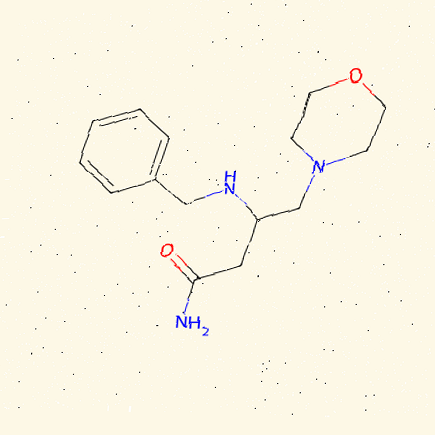 NC(=O)CC(CN1CCOCC1)NCc1ccccc1